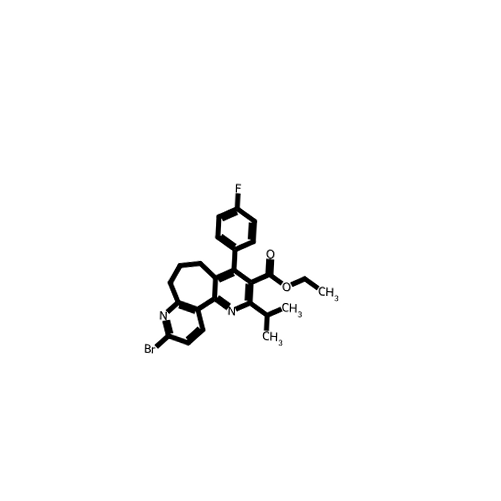 CCOC(=O)c1c(C(C)C)nc2c(c1-c1ccc(F)cc1)CCCc1nc(Br)ccc1-2